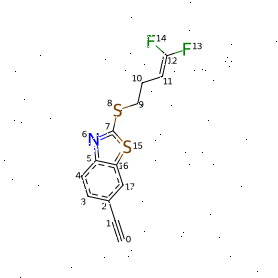 C#Cc1ccc2nc(SCCC=C(F)F)sc2c1